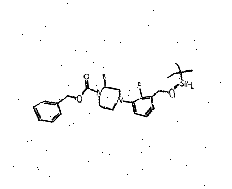 C[C@H]1CN(c2cccc(CO[SiH](C)C(C)(C)C)c2F)CCN1C(=O)OCc1ccccc1